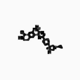 Nc1ncc(-c2ccc([C@]34C[C@H]3CN(C3CC3)C4)cc2)nc1-c1cc2c(cc1F)C(=O)NCC2